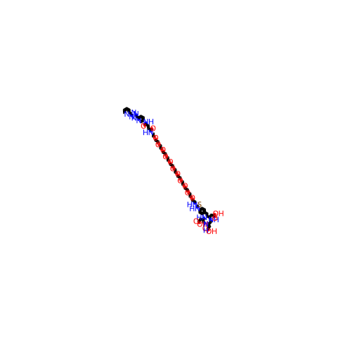 O=C(O)CC1CNC(CC(=O)O)C(Cc2ccc(NC(=S)NCCOCCOCCOCCOCCOCCOCCOCCOCCOCCOCCOCCNC(=O)CCC(=O)Nc3ccc(-c4nnc(-c5ccccn5)nn4)nc3)cc2)NC(CC(=O)O)CN1